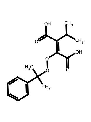 CC(C)C(C(=O)O)=C(OOC(C)(C)c1ccccc1)C(=O)O